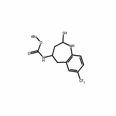 CC(C)(C)OC(=O)NC1Cc2cc(C(F)(F)F)ccc2NC(S)C1